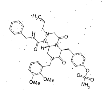 C=CCN1CC(=O)N2[C@@H](Cc3ccc(OS(N)(=O)=O)cc3)C(=O)N(Cc3cccc(OC)c3OC)C[C@@H]2N1C(=O)NCc1ccccc1